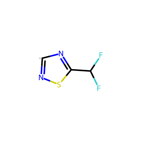 FC(F)c1n[c]ns1